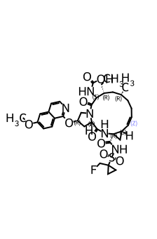 CC[C@@H]1C[C@H](C)CC/C=C\[C@@H]2C[C@@]2(C(=O)NS(=O)(=O)C2(CF)CC2)NC(=O)[C@@H]2C[C@@H](Oc3nccc4cc(OC)ccc34)CN2C(=O)[C@H]1NC(=O)O